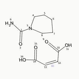 NC(=O)N1CCCCC1.O=C(O)/C=C\C(=O)O